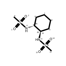 CS(=O)(=O)N[C@@H]1CCCC[C@H]1NS(C)(=O)=O